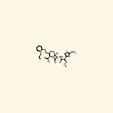 C=CC[n+]1ccccc1SCC1=C(C(=O)[O-])N2C(=O)[C@@H](NC(=O)/C(=N\OC)c3csc(N)n3)[C@H]2SC1